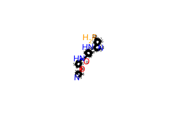 O=C(Nc1cccc(Oc2ccncc2)c1)c1ccc(Nc2ccnc3ccc(P)cc23)cc1